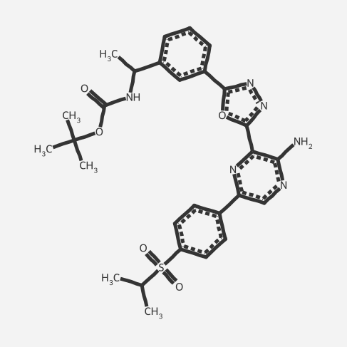 CC(NC(=O)OC(C)(C)C)c1cccc(-c2nnc(-c3nc(-c4ccc(S(=O)(=O)C(C)C)cc4)cnc3N)o2)c1